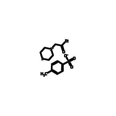 CCC(=O)C[S+]1CCSCC1.Cc1ccc(S(=O)(=O)[O-])cc1